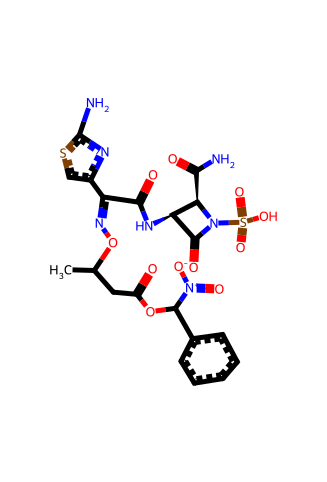 CC(CC(=O)OC(c1ccccc1)[N+](=O)[O-])ON=C(C(=O)N[C@@H]1C(=O)N(S(=O)(=O)O)[C@@H]1C(N)=O)c1csc(N)n1